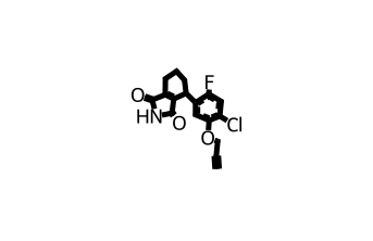 C#CCOc1cc(C2CCCC3=C2C(=O)NC3=O)c(F)cc1Cl